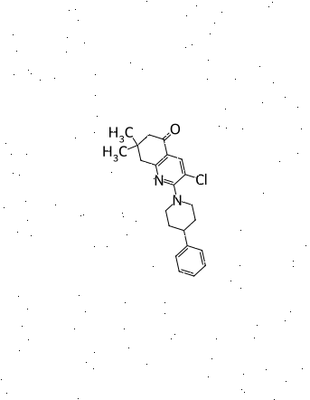 CC1(C)CC(=O)c2cc(Cl)c(N3CCC(c4ccccc4)CC3)nc2C1